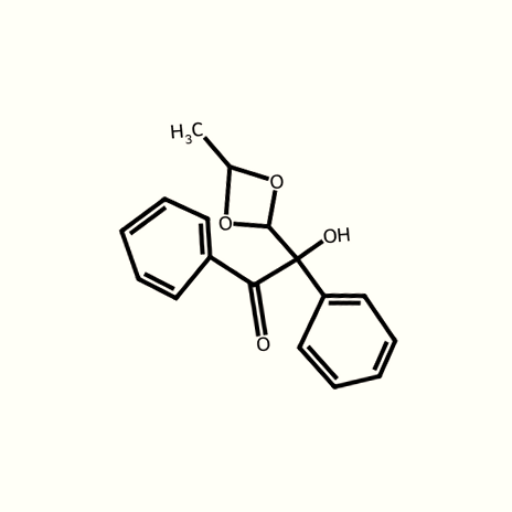 CC1OC(C(O)(C(=O)c2ccccc2)c2ccccc2)O1